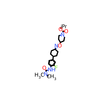 CC(C)OC(=O)N1CCC(ON=C2CCC(c3ccc(NC(=O)N(C)C)c(F)c3)CC2)CC1